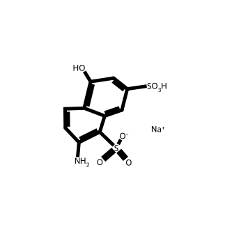 Nc1ccc2c(O)cc(S(=O)(=O)O)cc2c1S(=O)(=O)[O-].[Na+]